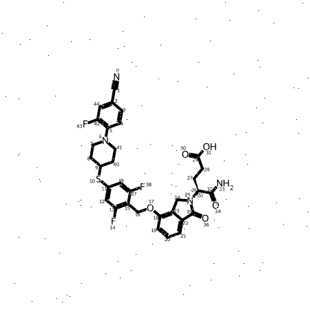 N#Cc1ccc(N2CCC(Sc3cc(F)c(COc4cccc5c4CN([C@@H](CCC(=O)O)C(N)=O)C5=O)c(F)c3)CC2)c(F)c1